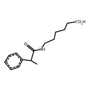 CC(C(=O)NCCCCCC(=O)O)c1ccccc1